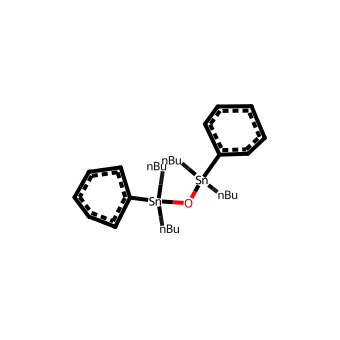 CCC[CH2][Sn]([CH2]CCC)([O][Sn]([CH2]CCC)([CH2]CCC)[c]1ccccc1)[c]1ccccc1